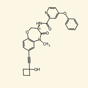 CN1C(=O)[C@H](NC(=O)c2cc(Oc3ccccc3)ccn2)COc2ccc(C#CC3(O)CCC3)cc21